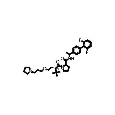 CC(NC(=O)C1CCCN1C(=O)[C@@H](CCOCCCN1CCCC1)C(C)(C)C)c1ccc(-c2c(F)cccc2F)cc1